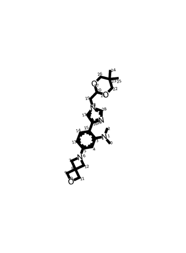 CN(C)c1cc(N2CC3(COC3)C2)ccc1-c1cn(CC2OCC(C)(C)CO2)cn1